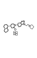 Cl.Cl.O=c1cc(-c2cccc3ccccc23)ccn1-c1ccc2c(cnn2CCN2CCCC2)c1